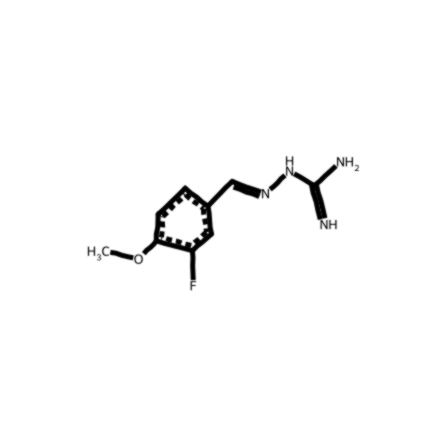 COc1ccc(C=NNC(=N)N)cc1F